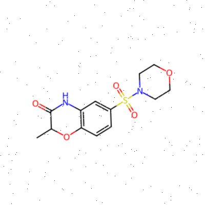 CC1Oc2ccc(S(=O)(=O)N3CCOCC3)cc2NC1=O